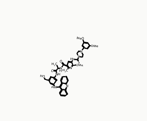 COc1cc(OC)cc(N2CCN(C(=S)Nc3cc(C(=O)NC(C)C(=O)Nc4cc(CO)cc(Nc5c6ccccc6nc6ccccc56)c4)c(C)nc3OC)CC2)c1